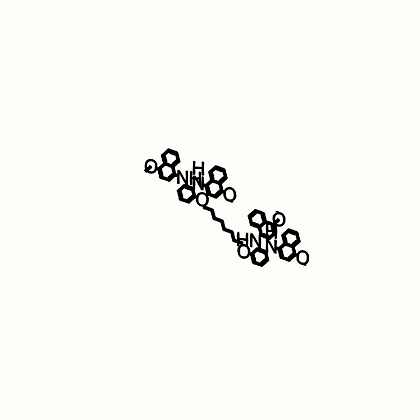 COc1ccc(Nc2cccc(OCCCCCCCCOc3cccc(Nc4ccc(OC)c5ccccc45)c3Nc3ccc(OC)c4ccccc34)c2Nc2ccc(OC)c3ccccc23)c2ccccc12